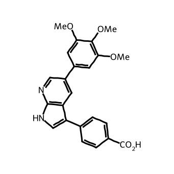 COc1cc(-c2cnc3[nH]cc(-c4ccc(C(=O)O)cc4)c3c2)cc(OC)c1OC